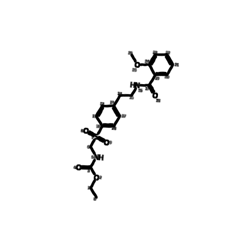 CCOC(=O)NCS(=O)(=O)c1ccc(CCNC(=O)c2ccccc2OC)cc1